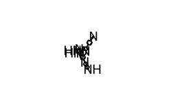 N#Cc1ccc(-c2cc3n(c2)Cc2cc(N4CC5CNCC5C4)ccc2N2NNN=C32)cc1